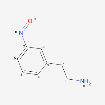 NCCc1cccc(N=O)c1